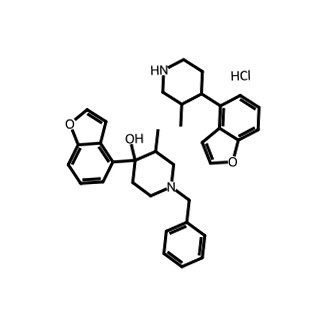 CC1CN(Cc2ccccc2)CCC1(O)c1cccc2occc12.CC1CNCCC1c1cccc2occc12.Cl